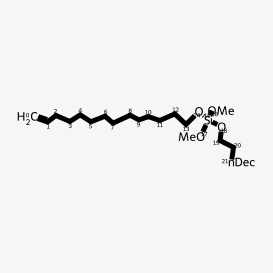 C=CCCCCCCCCCCCCO[Si](OC)(OC)OCCCCCCCCCCCC